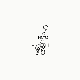 CN([C@H]1C[C@@H](NC(=O)OCc2ccccc2)C[C@H]1O)S(=O)(=O)c1ccccc1[N+](=O)[O-]